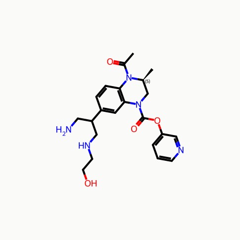 CC(=O)N1c2ccc(C(CN)CNCCO)cc2N(C(=O)Oc2cccnc2)C[C@@H]1C